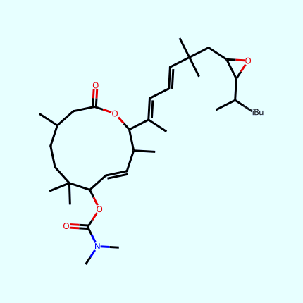 CCC(C)C(C)C1OC1CC(C)(C)/C=C/C=C(\C)C1OC(=O)CC(C)CCC(C)(C)C(OC(=O)N(C)C)/C=C/C1C